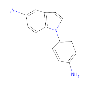 Nc1ccc(-n2ccc3cc(N)ccc32)cc1